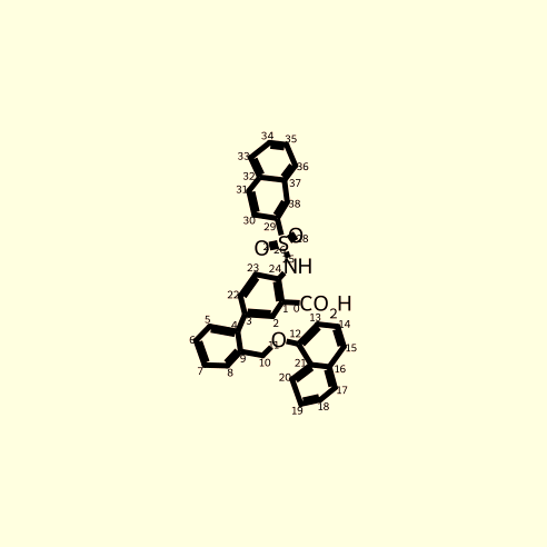 O=C(O)c1cc(-c2ccccc2COc2cccc3ccccc23)ccc1NS(=O)(=O)c1ccc2ccccc2c1